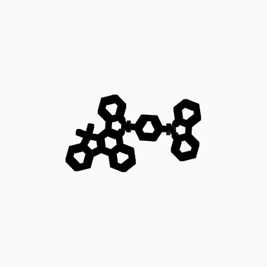 CC1(C)c2ccccc2-c2c1c1c3ccccc3n(-c3ccc(-n4c5ccccc5c5ccccc54)cc3)c1c1ccccc21